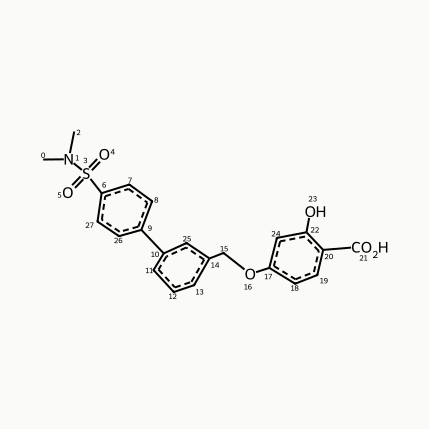 CN(C)S(=O)(=O)c1ccc(-c2cccc(COc3ccc(C(=O)O)c(O)c3)c2)cc1